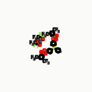 O=S(=O)(Oc1ccc([S+](c2ccccc2)c2ccc(OS(=O)(=O)c3cc(C(F)(F)F)cc(C(F)(F)F)c3)cc2)cc1)c1cc(C(F)(F)F)cc(C(F)(F)F)c1.O=S(=O)([N-]S(=O)(=O)C(F)(F)C(F)(F)F)C(F)(F)C(F)(F)F